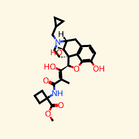 COC(=O)C1(NC(=O)/C(C)=C(\O)[C@@H]2Oc3c(O)ccc4c3[C@@]23CCN(CC2CC2)[C@H](C4)[C@@]3(C)O)CCC1